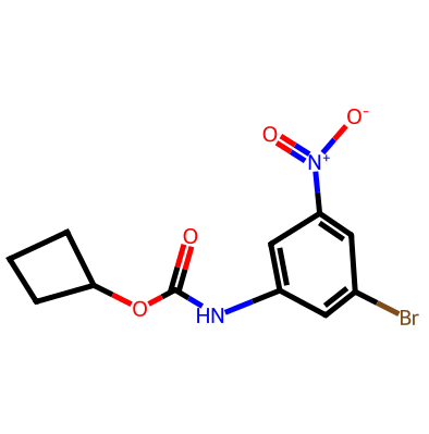 O=C(Nc1cc(Br)cc([N+](=O)[O-])c1)OC1CCC1